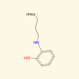 CCCCCCCCCNc1ccccc1O